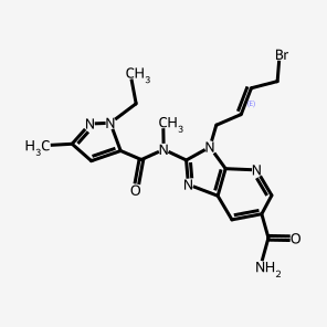 CCn1nc(C)cc1C(=O)N(C)c1nc2cc(C(N)=O)cnc2n1C/C=C/CBr